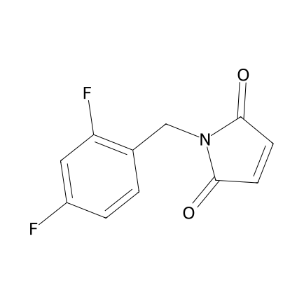 O=C1C=CC(=O)N1Cc1ccc(F)cc1F